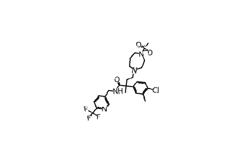 Cc1cc(C(C)(CCN2CCCN(S(C)(=O)=O)CC2)C(=O)NCc2ccc(C(F)(F)F)nc2)ccc1Cl